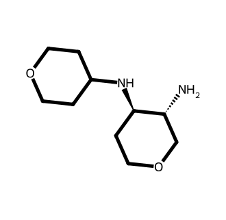 N[C@@H]1COCC[C@H]1NC1CCOCC1